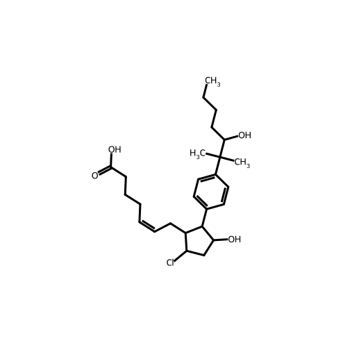 CCCCC(O)C(C)(C)c1ccc(C2C(O)CC(Cl)C2C/C=C\CCCC(=O)O)cc1